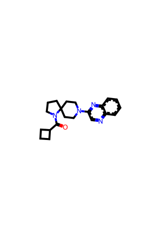 O=C(C1CCC1)N1CCCC12CCN(c1cnc3ccccc3n1)CC2